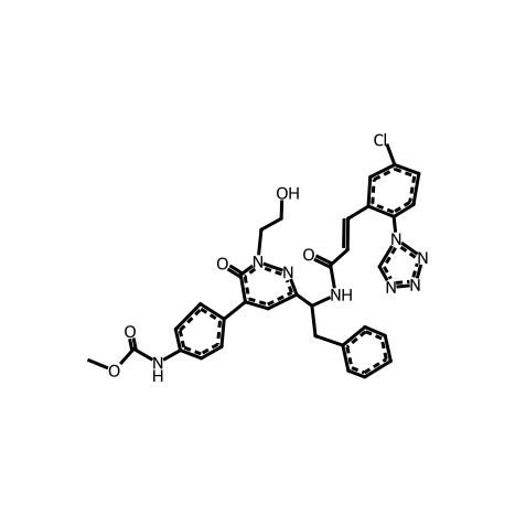 COC(=O)Nc1ccc(-c2cc(C(Cc3ccccc3)NC(=O)/C=C/c3cc(Cl)ccc3-n3cnnn3)nn(CCO)c2=O)cc1